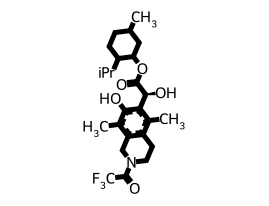 Cc1c(O)c([C@H](O)C(=O)OC2CC(C)CCC2C(C)C)c(C)c2c1CN(C(=O)C(F)(F)F)CC2